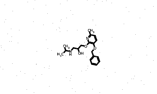 Cc1ccc(OCc2ccccc2)c(OCC(O)CNC(C)C)n1